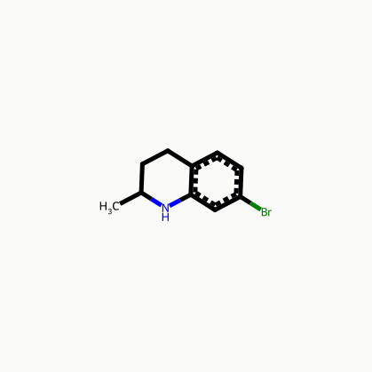 CC1CCc2ccc(Br)cc2N1